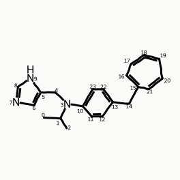 CC(C)N(Cc1cnc[nH]1)c1ccc(CC2=CC=C=CC=C2)cc1